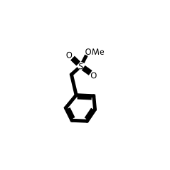 COS(=O)(=O)Cc1ccccc1